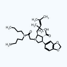 CCCCN(CCCN)C(=O)CN1C[C@H](c2ccc3c(c2)OCO3)[C@@H](C(=O)O)[C@@H]1CC(C)(C)C=C(C)C